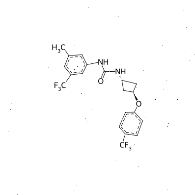 Cc1cc(NC(=O)N[C@H]2C[C@H](Oc3ccc(C(F)(F)F)cc3)C2)cc(C(F)(F)F)c1